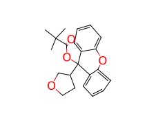 CC(C)(C)C(=O)OC1(C2CCOC2)c2ccccc2Oc2ccccc21